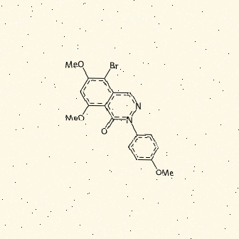 COc1ccc(-n2ncc3c(Br)c(OC)cc(OC)c3c2=O)cc1